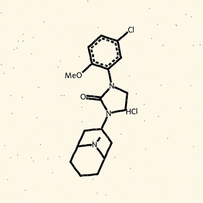 COc1ccc(Cl)cc1N1CCN(C2CC3CCCC(C2)N3C)C1=O.Cl